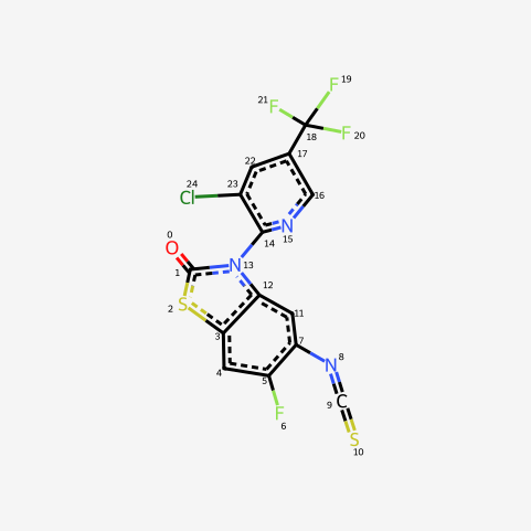 O=c1sc2cc(F)c(N=C=S)cc2n1-c1ncc(C(F)(F)F)cc1Cl